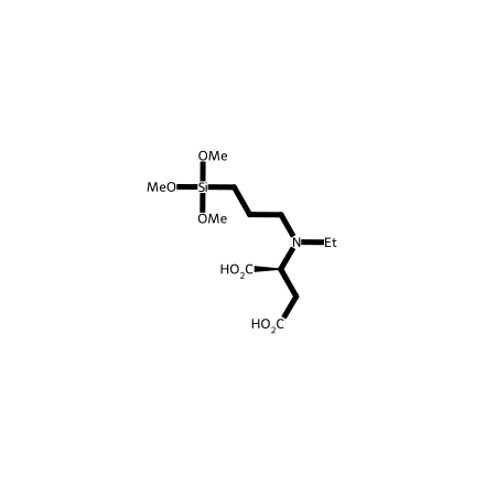 CCN(CCC[Si](OC)(OC)OC)[C@@H](CC(=O)O)C(=O)O